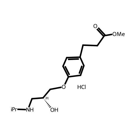 COC(=O)CCc1ccc(OC[C@H](O)CNC(C)C)cc1.Cl